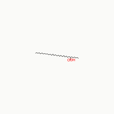 CCCCCCCCCCCCCCCCCCCCCCCCCCC(CCCCCC)C(=O)O